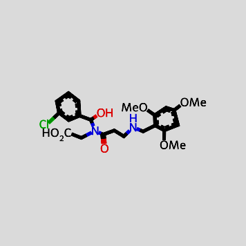 COc1cc(OC)c(CNCCC(=O)N(CC(=O)O)C(O)c2cccc(Cl)c2)c(OC)c1